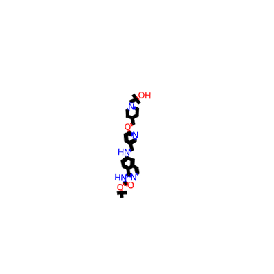 CC(C)(O)CN1CCC(COc2ccc(CNc3ccc4c(NC(=O)OC(C)(C)C)nccc4c3)cn2)CC1